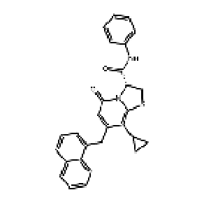 O=C(Nc1ccccc1)[C@@H]1CSc2c(C3CC3)c(Cc3cccc4ccccc34)cc(=O)n21